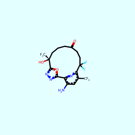 Nc1cc(C(F)(F)F)c2nc1-c1nnc(o1)[C@@](O)(C(F)(F)F)CCCC(=O)CCC2(F)F